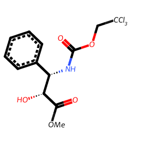 COC(=O)[C@H](O)[C@@H](NC(=O)OCC(Cl)(Cl)Cl)c1ccccc1